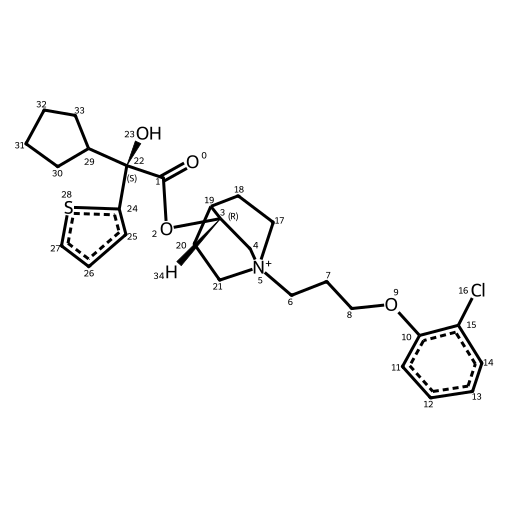 O=C(O[C@H]1C[N+]2(CCCOc3ccccc3Cl)CCC1CC2)[C@](O)(c1cccs1)C1CCCC1